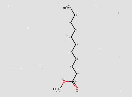 CCCCCCCCCCCCCCCCCC(=O)[O][AlH2]